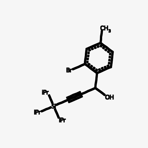 Cc1ccc(C(O)C#C[Si](C(C)C)(C(C)C)C(C)C)c(Br)c1